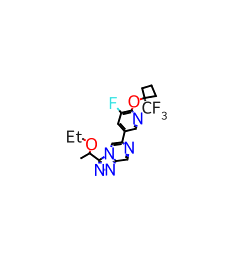 CCOC(C)c1nnc2cnc(-c3cnc(OC4(C(F)(F)F)CCC4)c(F)c3)cn12